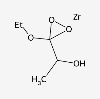 CCOC1(C(C)O)OO1.[Zr]